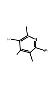 Cc1nc(C(C)C)c(C)c(C)c1C(C)C